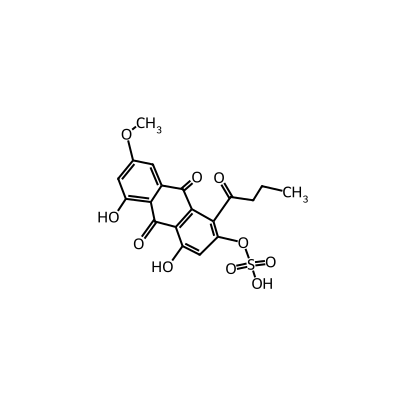 CCCC(=O)c1c(OS(=O)(=O)O)cc(O)c2c1C(=O)c1cc(OC)cc(O)c1C2=O